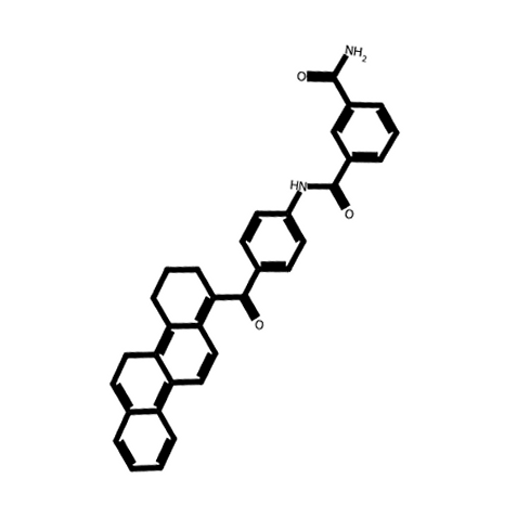 NC(=O)c1cccc(C(=O)Nc2ccc(C(=O)C3=c4ccc5c(c4CCC3)CC=c3ccccc3=5)cc2)c1